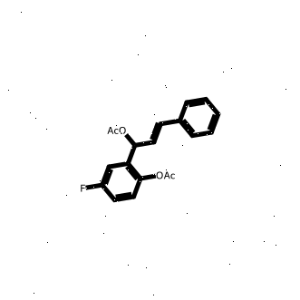 CC(=O)Oc1ccc(F)cc1C(/C=C/c1ccccc1)OC(C)=O